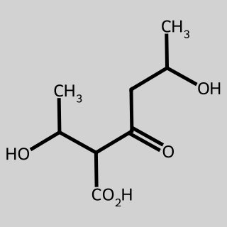 CC(O)CC(=O)C(C(=O)O)C(C)O